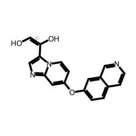 O/C=C(/O)c1cnc2cc(Oc3ccc4ccncc4c3)ccn12